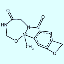 C[N+]1(c2ccc3c(c2)OC3)OCNC(=O)CN1N=O